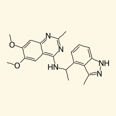 COc1cc2nc(C)nc(NC(C)c3cccc4[nH]nc(C)c34)c2cc1OC